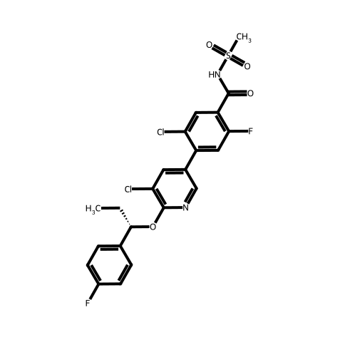 CC[C@H](Oc1ncc(-c2cc(F)c(C(=O)NS(C)(=O)=O)cc2Cl)cc1Cl)c1ccc(F)cc1